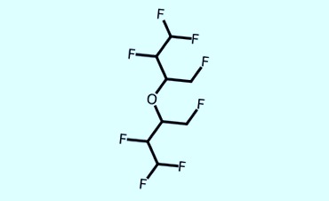 FCC(OC(CF)C(F)C(F)F)C(F)C(F)F